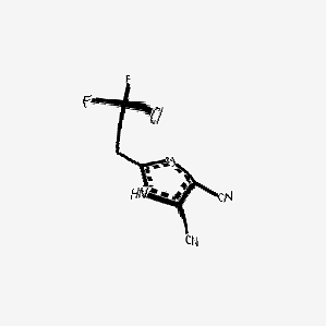 N#Cc1nc(CC(F)(F)Cl)[nH]c1C#N